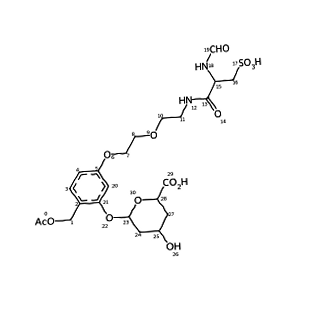 CC(=O)OCc1ccc(OCCOCCNC(=O)C(CS(=O)(=O)O)NC=O)cc1OC1CC(O)CC(C(=O)O)O1